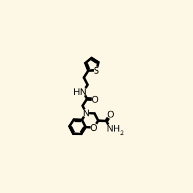 NC(=O)C1CN(CC(=O)NCCc2cccs2)c2ccccc2O1